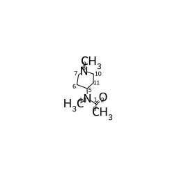 CC(=O)N(C)C1CCN(C)CC1